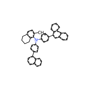 Cc1ccc2c(c1N(c1ccc(-c3cccc4ccccc34)cc1)c1ccc(-c3cc4ccccc4c4ccccc34)cc1)CCCC2